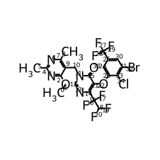 COc1nc(C)nc(C)c1Cn1cnc(C(F)(F)C(F)F)c(Oc2cc(C(F)(F)F)cc(Br)c2Cl)c1=O